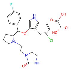 O=C(O)C(=O)O.O=C1NCCN1CCN1CCCC1C(Oc1c[nH]c2ccc(Cl)cc12)c1ccc(F)cc1